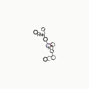 C=C/C=C(\C=C/N1C2=C(CCC=C2)C2=CC(C3=C(Cc4ccccc4C)C=CCC3)=CC21)c1ccc(N(CC2=CC=CC2)NCc2ccccc2)cc1